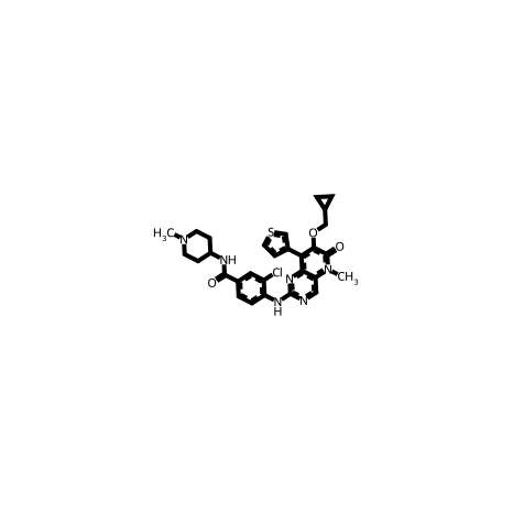 CN1CCC(NC(=O)c2ccc(Nc3ncc4c(n3)c(-c3ccsc3)c(OCC3CC3)c(=O)n4C)c(Cl)c2)CC1